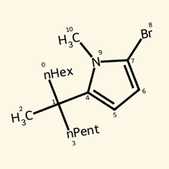 CCCCCCC(C)(CCCCC)c1ccc(Br)n1C